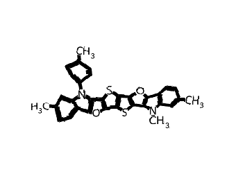 Cc1ccc(-n2c3cc(C)ccc3c3oc4c5sc6c(oc7c8ccc(C)cc8n(C)c76)c5sc4c32)cc1